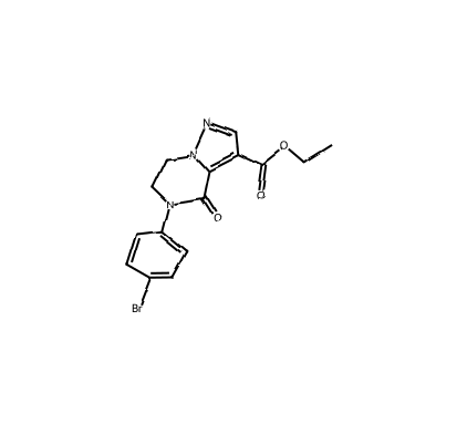 CCOC(=O)c1cnn2c1C(=O)N(c1ccc(Br)cc1)CC2